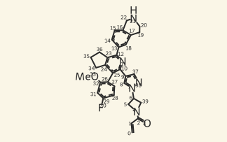 C=CC(=O)N1CC(n2cc(-c3nc(-c4ccc5c(c4)CCNC5)c4c(c3-c3ccc(F)cc3OC)CCC4)cn2)C1